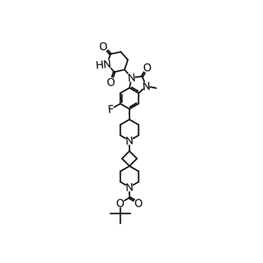 Cn1c(=O)n(C2CCC(=O)NC2=O)c2cc(F)c(C3CCN(C4CC5(CCN(C(=O)OC(C)(C)C)CC5)C4)CC3)cc21